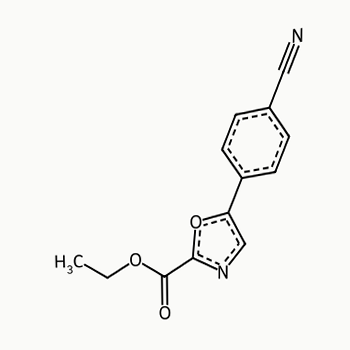 CCOC(=O)c1ncc(-c2ccc(C#N)cc2)o1